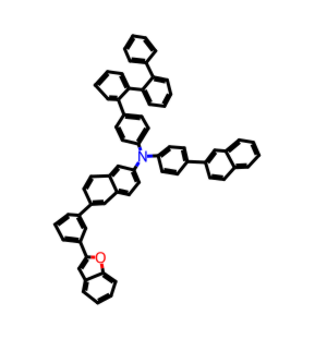 c1ccc(-c2ccccc2-c2ccccc2-c2ccc(N(c3ccc(-c4ccc5ccccc5c4)cc3)c3ccc4cc(-c5cccc(-c6cc7ccccc7o6)c5)ccc4c3)cc2)cc1